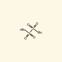 CCCCS(=O)(=O)S(=O)(=O)C(C)CC